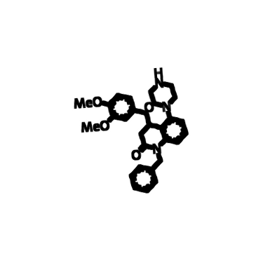 COc1ccc(C(=O)C2CC(=O)N(Cc3ccccc3)c3cccc(N4CCNCC4)c32)cc1OC